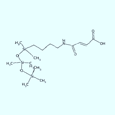 C[Si](C)(C)O[Si](C)(C)O[Si](C)(C)CCCCNC(=O)C=CC(=O)O